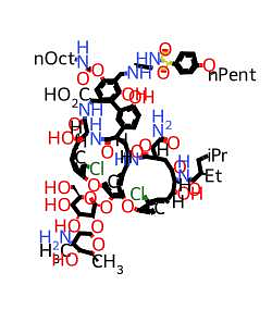 CCCCCCCCNC(=O)Oc1cc2c(c(O)c1CNCCNS(=O)(=O)c1ccc(OCCCCC)cc1)-c1cc(ccc1O)[C@H]1CC(=O)[C@@H]3NC(=O)[C@H](CC(N)=O)CC(=O)[C@H](NC(=O)[C@H](CC)CC(C)C)[C@H](O)c4ccc(c(Cl)c4)Oc4cc3cc(c4O[C@@H]3O[C@H](CO)[C@@H](O)[C@H](O)[C@H]3O[C@H]3C[C@](C)(N)[C@H](O)[C@H](C)O3)Oc3ccc(cc3Cl)[C@@H](O)[C@H](NC1=O)C(=O)N[C@@H]2C(=O)O